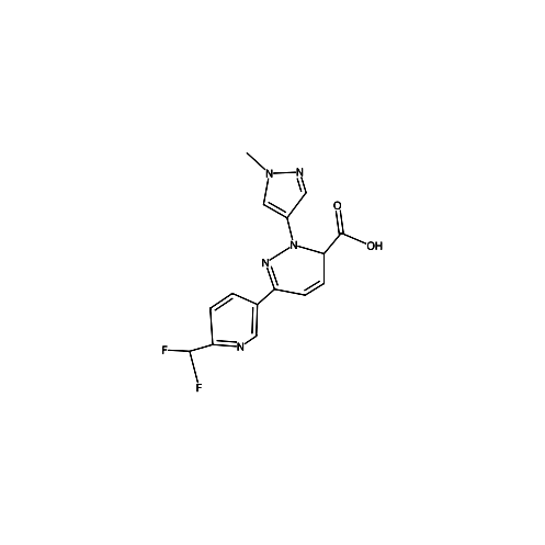 Cn1cc(N2N=C(c3ccc(C(F)F)nc3)C=CC2C(=O)O)cn1